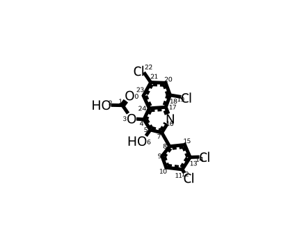 O=C(O)Oc1c(O)c(-c2ccc(Cl)c(Cl)c2)nc2c(Cl)cc(Cl)cc12